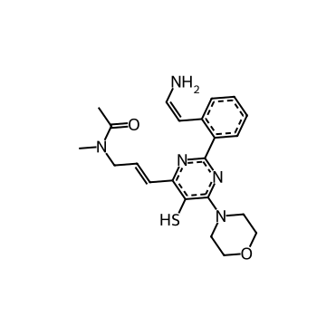 CC(=O)N(C)C/C=C/c1nc(-c2ccccc2/C=C\N)nc(N2CCOCC2)c1S